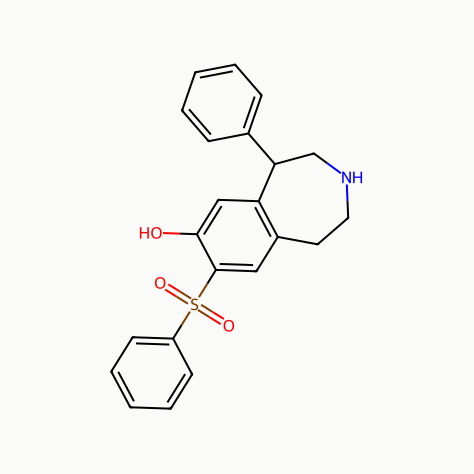 O=S(=O)(c1ccccc1)c1cc2c(cc1O)C(c1ccccc1)CNCC2